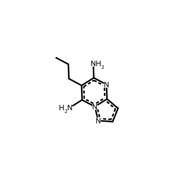 CCCc1c(N)nc2ccnn2c1N